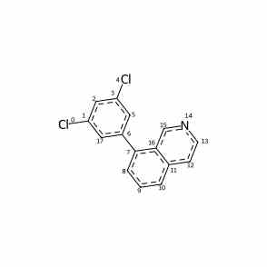 Clc1cc(Cl)cc(-c2cccc3ccncc23)c1